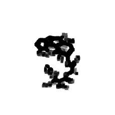 COc1ccc2c3c1O[C@@H]1C(OC(=O)[C@H](C)OC(=O)[C@H](OC(C)=O)[C@@H](OC(C)=O)C(=O)O)=CC[C@]4(O)[C@@H](CCC[C@@]314)C2